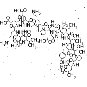 CC[C@H](C)[C@H](NC(=O)[C@H](CC(N)=O)NC(=O)[C@H](CC(=O)O)NC(=O)[C@@H]1CCCN1C(=O)[C@H](CCCCN)NC(=O)[C@H](CO)NC(=O)[C@H](CCC(=O)O)NC(=O)[C@H](CCC(=O)O)NC(=O)[C@H](CCCCN)NC(=O)[C@H](CC(N)=O)NC(=O)[C@@H](N)C(C)C)C(=O)N[C@H](C(=O)N[C@@H](Cc1ccc(O)cc1)C(=O)N[C@H](C(=O)N1CCC[C@H]1C(=O)N[C@@H](CC(C)C)C(=O)O)[C@@H](C)O)C(C)C